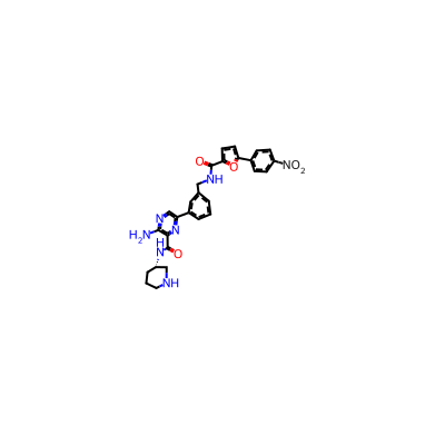 Nc1ncc(-c2cccc(CNC(=O)c3ccc(-c4ccc([N+](=O)[O-])cc4)o3)c2)nc1C(=O)N[C@H]1CCCNC1